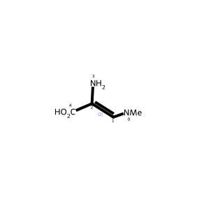 CN/C=C(\N)C(=O)O